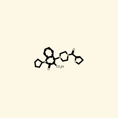 CCOC(=O)c1c(N2CCN(C(=O)C3=CCCS3)CC2)c2ccccc2n(C2CCCC2)c1=O